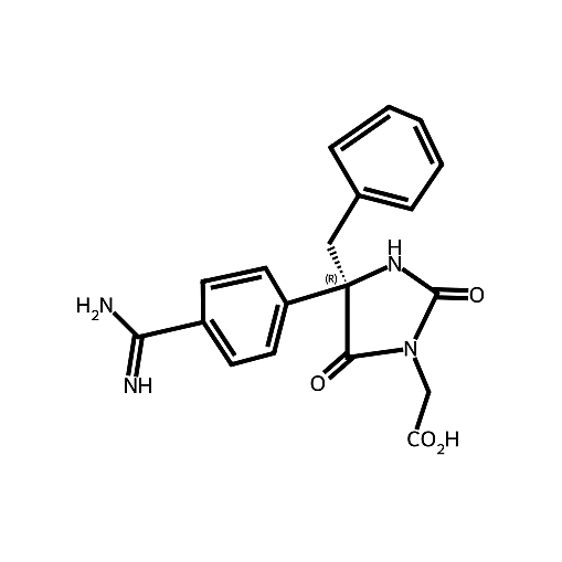 N=C(N)c1ccc([C@@]2(Cc3ccccc3)NC(=O)N(CC(=O)O)C2=O)cc1